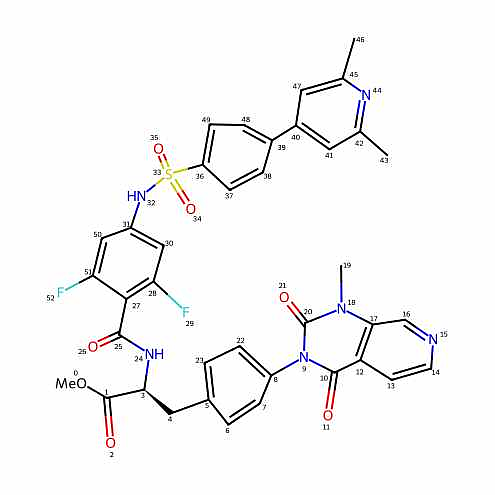 COC(=O)[C@H](Cc1ccc(-n2c(=O)c3ccncc3n(C)c2=O)cc1)NC(=O)c1c(F)cc(NS(=O)(=O)c2ccc(-c3cc(C)nc(C)c3)cc2)cc1F